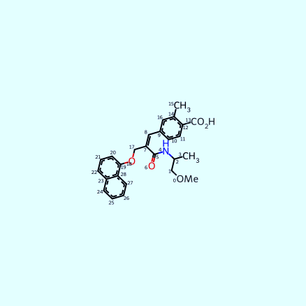 COCC(C)NC(=O)C(=Cc1ccc(C(=O)O)c(C)c1)COc1cccc2ccccc12